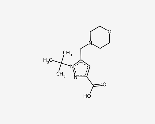 CC(C)(C)n1nc(C(=O)O)cc1CN1CCOCC1